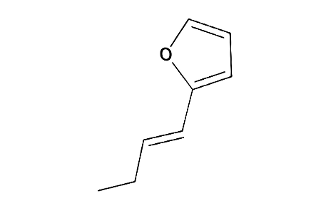 CCC=Cc1ccco1